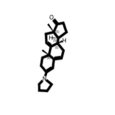 C[C@]12CCC(N3CCCC3)=CC1=CC[C@@H]1C2=CC[C@]2(C)C(=O)CC[C@@H]12